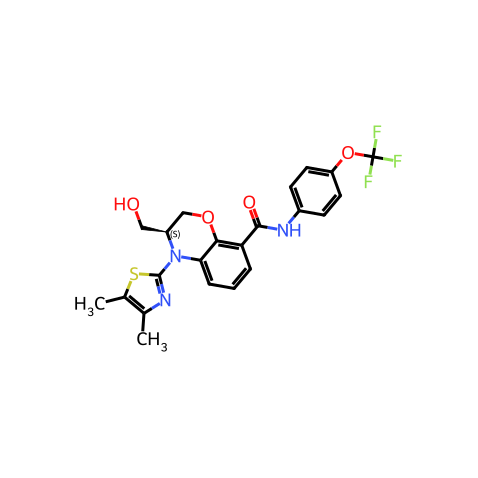 Cc1nc(N2c3cccc(C(=O)Nc4ccc(OC(F)(F)F)cc4)c3OC[C@@H]2CO)sc1C